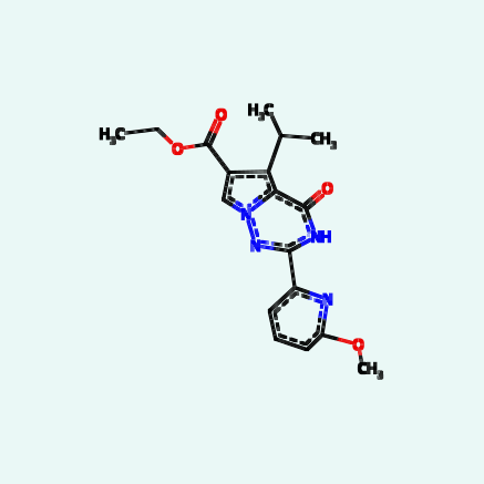 CCOC(=O)c1cn2nc(-c3cccc(OC)n3)[nH]c(=O)c2c1C(C)C